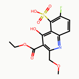 CCOC(=O)c1c(COC)nc2ccc(F)c(S(=O)(=O)O)c2c1O